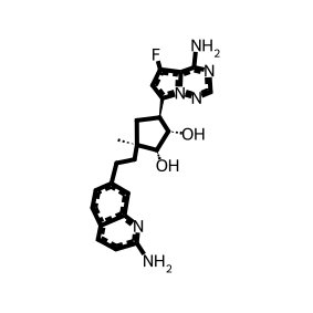 C[C@]1(CCc2ccc3ccc(N)nc3c2)C[C@@H](c2cc(F)c3c(N)ncnn23)[C@H](O)[C@@H]1O